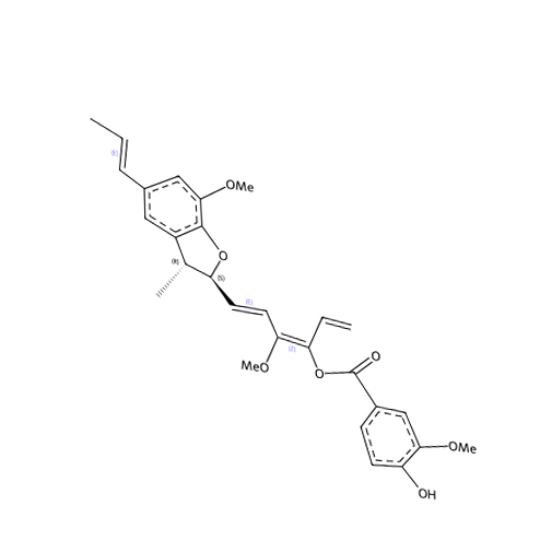 C=C/C(OC(=O)c1ccc(O)c(OC)c1)=C(\C=C\[C@@H]1Oc2c(OC)cc(/C=C/C)cc2[C@H]1C)OC